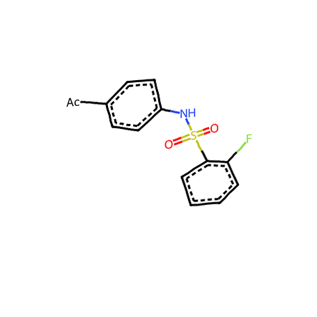 CC(=O)c1ccc(NS(=O)(=O)c2ccccc2F)cc1